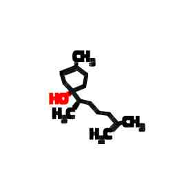 C=C(C)CCC[C@@H](C)[C@]1(O)CC=C(C)CC1